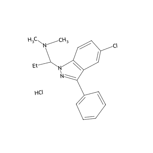 CCC(N(C)C)n1nc(-c2ccccc2)c2cc(Cl)ccc21.Cl